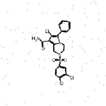 NC(=O)c1c(Cl)c(-c2ccccc2)n2c1CN(S(=O)(=O)c1ccc(Cl)c(Cl)c1)CC2